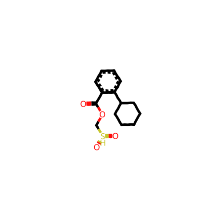 O=C(OC[SH](=O)=O)c1ccccc1C1CCCCC1